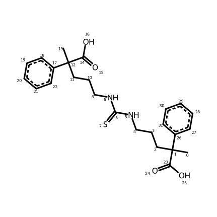 CC(CCCNC(=S)NCCCC(C)(C(=O)O)c1ccccc1)(C(=O)O)c1ccccc1